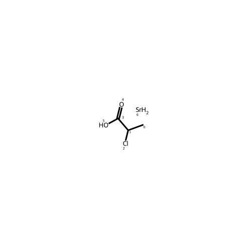 CC(Cl)C(=O)O.[SrH2]